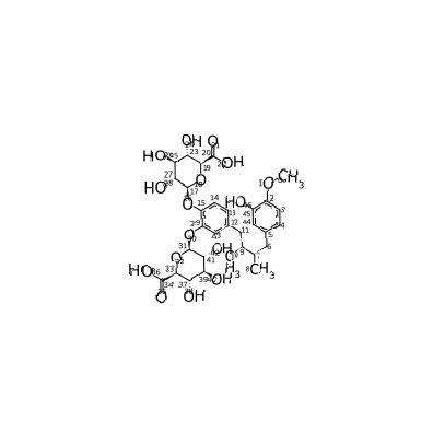 COc1ccc(CC(C)C(C)Cc2ccc(O[C@@H]3O[C@H](C(=O)O)[C@@H](O)[C@H](O)[C@H]3O)c(O[C@@H]3O[C@H](C(=O)O)[C@@H](O)[C@H](O)[C@H]3O)c2)cc1O